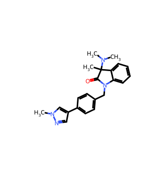 CN(C)C1(C)C(=O)N(Cc2ccc(-c3cnn(C)c3)cc2)c2ccccc21